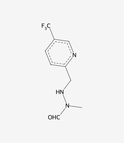 CN(C=O)NCc1ccc(C(F)(F)F)cn1